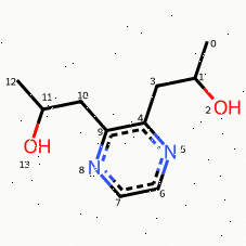 CC(O)Cc1nccnc1CC(C)O